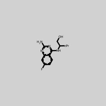 CCCC(CO)Nc1nc(N)nc2cc(F)ccc12